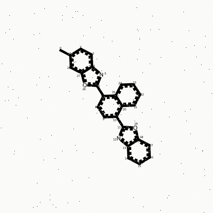 Cc1ccc2nc(-c3ccc(-c4nc5ccccc5o4)c4ccccc34)oc2c1